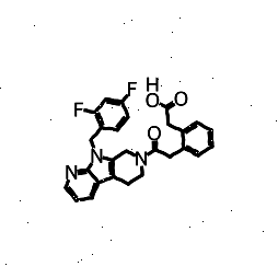 O=C(O)Cc1ccccc1CC(=O)N1CCc2c(n(Cc3ccc(F)cc3F)c3ncccc23)C1